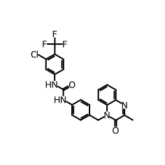 Cc1nc2ccccc2n(Cc2ccc(NC(=O)Nc3ccc(C(F)(F)F)c(Cl)c3)cc2)c1=O